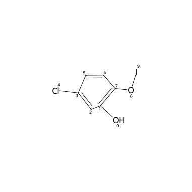 Oc1cc(Cl)ccc1OI